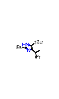 CCC(C)c1nc(C(C)C(C)C)c(C(C)(C)C)[nH]1